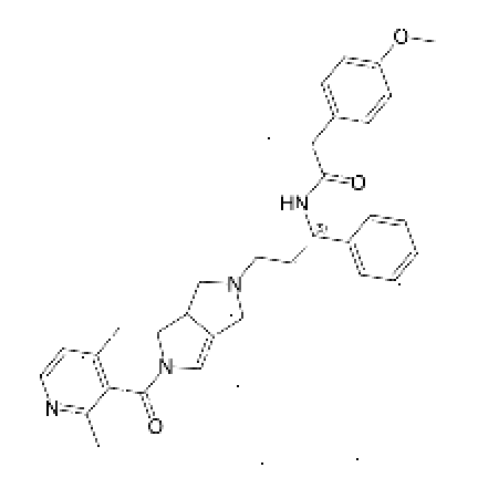 COc1ccc(CC(=O)N[C@@H](CCN2CC3=CN(C(=O)c4c(C)ccnc4C)CC3C2)c2ccccc2)cc1